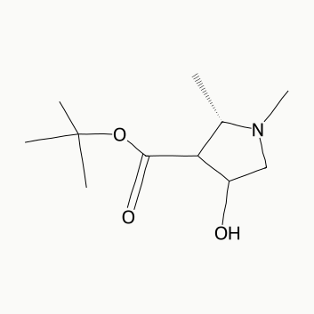 C[C@H]1C(C(=O)OC(C)(C)C)C(O)CN1C